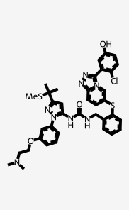 CSC(C)(C)c1cc(NC(=O)NCc2ccccc2Sc2ccc3nnc(-c4cc(O)ccc4Cl)n3c2)n(-c2cccc(OCCN(C)C)c2)n1